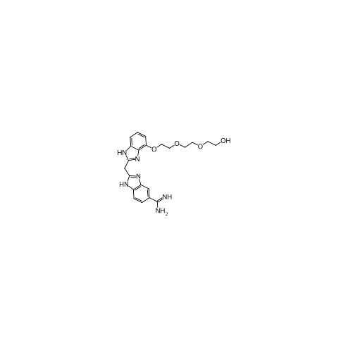 N=C(N)c1ccc2[nH]c(Cc3nc4c(OCCOCCOCCO)cccc4[nH]3)nc2c1